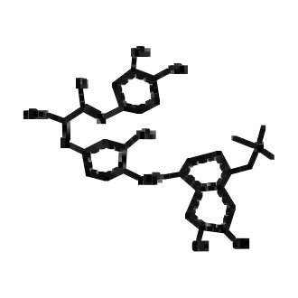 CCCCCCCCCCC(=Nc1ccc(CCCC)c(CCCC)c1)C(CC)=Nc1ccc(CCCC)c(CCCC)c1.CCCc1ccc(C[Si](C)(C)C)c2cc(O)c(O)cc12